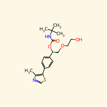 Cc1ncsc1-c1ccc([C@H](COCCO)OC(=O)NC(C)(C)C)cc1